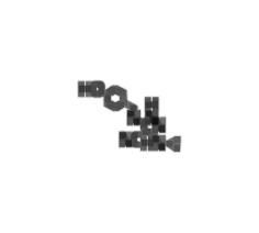 N#Cc1c(NC2CC2)n[nH]c1/N=C/c1ccc(O)cc1